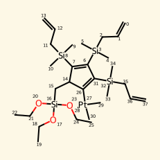 C=CC[Si](C)(C)C1=C([Si](C)(C)CC=C)C(C[Si](OCC)(OCC)OCC)[C]([Pt]([CH3])([CH3])[CH3])=C1[Si](C)(C)CC=C